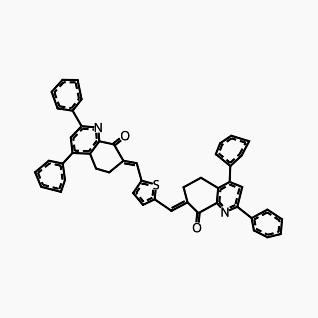 O=C1/C(=C/c2ccc(/C=C3\CCc4c(-c5ccccc5)cc(-c5ccccc5)nc4C3=O)s2)CCc2c(-c3ccccc3)cc(-c3ccccc3)nc21